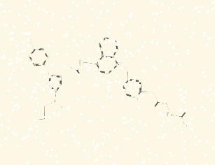 CCCC(I)c1cc(NC(=O)Nc2ccc(Oc3ccnc(NC(=O)CNC(N)=O)c3)c3ccccc23)n(-c2ccc(C)cc2)n1